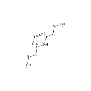 O=CO.OCCONOCCO